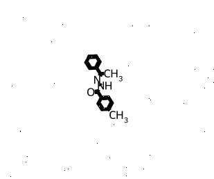 C/C(=N\NC(=O)c1ccc(C)cc1)c1ccccc1